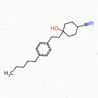 CCCCCc1ccc(CCC2(O)CCC(C#N)CC2)cc1